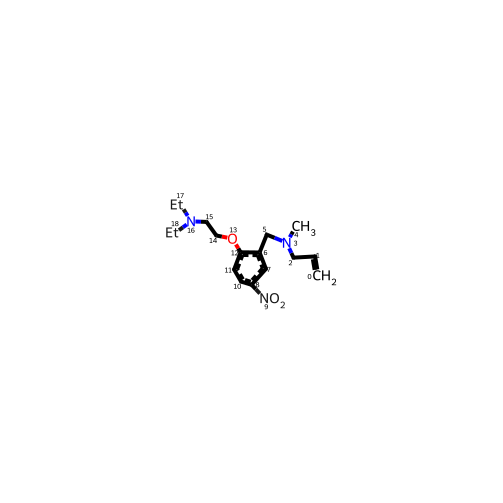 C=CCN(C)Cc1cc([N+](=O)[O-])ccc1OCCN(CC)CC